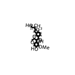 COc1cc2c(cc1O)OCC1Oc3c(ccc4c3CC(C(C)CO)O4)C(=O)C21O